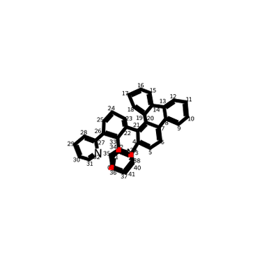 c1ccc(-c2ccc3c4ccccc4c4ccccc4c3c2-c2cccc(-c3ccccn3)c2-c2ccccn2)cc1